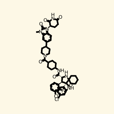 Cn1c(=O)n([C@@H]2CCC(=O)NC2=O)c2ccc(C3CCN(C(=O)C4CCC(NC(=O)[C@@H]5NC6(CCCCC6)[C@@]6(C(=O)Nc7cc(Cl)ccc76)[C@H]5c5cccc(Cl)c5F)CC4)CC3)cc21